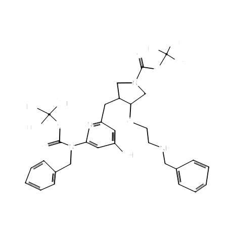 Cc1cc(CC2CN(C(=O)OC(C)(C)C)CC2OCCNCc2ccccc2)nc(N(Cc2ccccc2)C(=O)OC(C)(C)C)c1